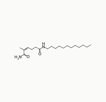 CCCCCCCCCCCCNC(=O)CCC=C(C)C(N)=O